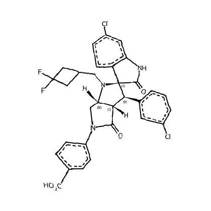 O=C(O)c1ccc(N2C[C@H]3[C@@H](C2=O)[C@H](c2cccc(Cl)c2)[C@]2(C(=O)Nc4cc(Cl)ccc42)N3CC2CC(F)(F)C2)cc1